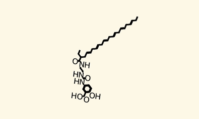 CCC=CCC=CCC=CCC=CCC=CCC=CCC(CC)C(=O)NCCNC(=O)Nc1ccc(O)c(C(=O)O)c1